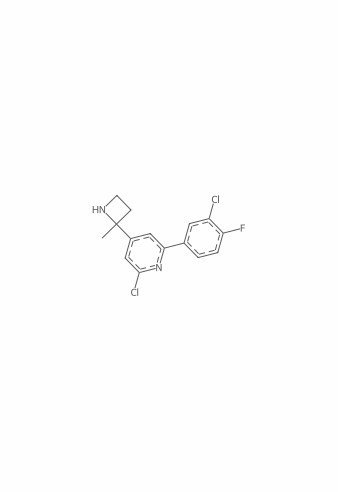 CC1(c2cc(Cl)nc(-c3ccc(F)c(Cl)c3)c2)CCN1